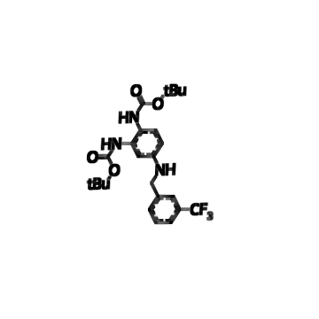 CC(C)(C)OC(=O)Nc1ccc(NCc2cccc(C(F)(F)F)c2)cc1NC(=O)OC(C)(C)C